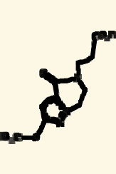 CCOC(=O)CCN1CCn2nc(OC(=O)O)cc2C1=O